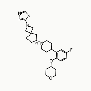 Fc1ccc(OC2CCOCC2)c(C2CCN([C@@H]3COC4(C3)CN(c3nncs3)C4)CC2)c1